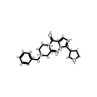 O=c1c2cnc(C3CCOC3)n2nc2n1CCN(Cc1ccccc1)C2